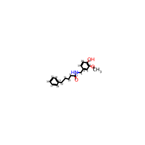 COc1cc(CNC(=O)CCCCc2ccccc2)ccc1O